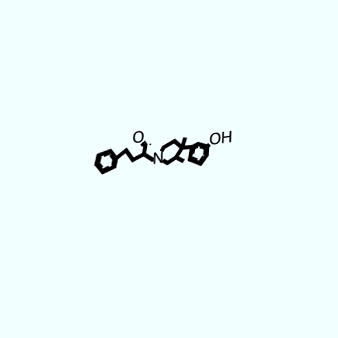 CC1CN(CC([C]=O)CCc2ccccc2)CCC1(C)c1cccc(O)c1